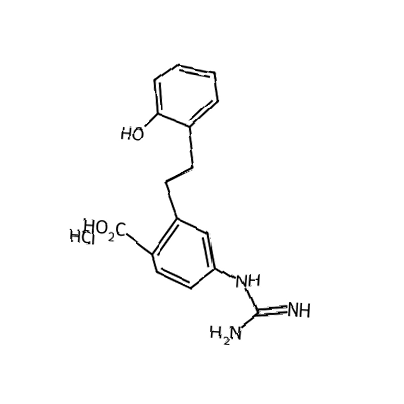 Cl.N=C(N)Nc1ccc(C(=O)O)c(CCc2ccccc2O)c1